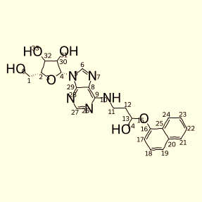 OC[C@H]1O[C@@H](n2cnc3c(NCCC(O)Oc4cccc5ccccc45)ncnc32)C(O)C1O